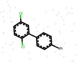 CC(C)c1ccc(-c2cc(Cl)ccc2Cl)cc1